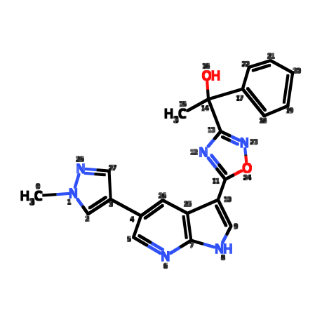 Cn1cc(-c2cnc3[nH]cc(-c4nc(C(C)(O)c5ccccc5)no4)c3c2)cn1